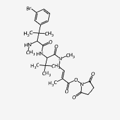 CNC(C(=O)NC(C(=O)N(C)C/C=C(\C)C(=O)ON1C(=O)CCC1=O)C(C)(C)C)C(C)(C)c1cccc(Br)c1